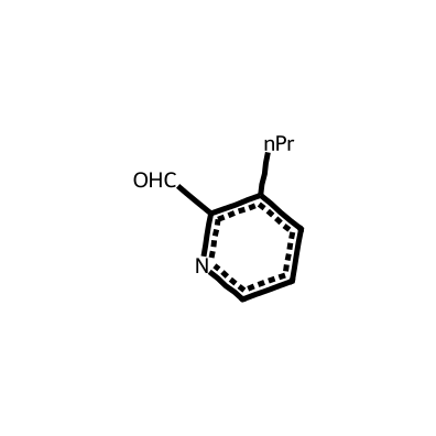 CCCc1cccnc1C=O